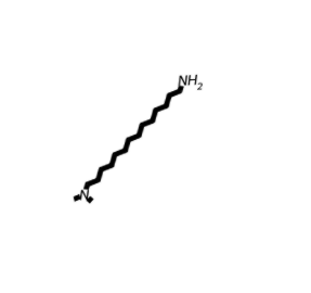 CN(C)CCCCCCCCCCCCCCN